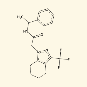 CC(NC(=O)Cn1nc(C(F)(F)F)c2c1CCCC2)c1ccccc1